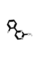 Cc1nccc(-c2ccccc2F)n1